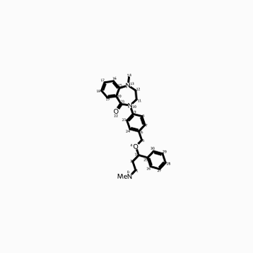 CNCCC(OCc1ccc(N2CCN(C)c3ccccc3C2=O)cc1)c1ccccc1